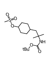 CC(C)(CC1CCC(OS(C)(=O)=O)CC1)NC(=O)OC(C)(C)C